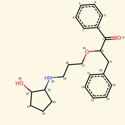 O=C(c1ccccc1)C(Cc1ccccc1)OCCCNC1CCCC1O